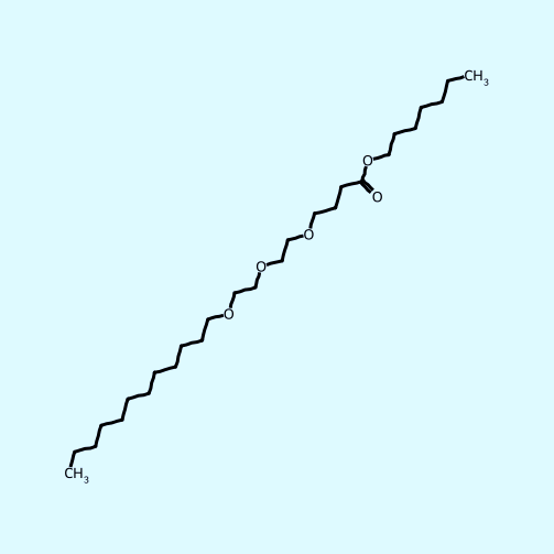 CCCCCCCCCCCCOCCOCCOCCCC(=O)OCCCCCCC